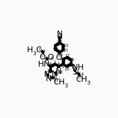 CCOC(=O)Nc1cc(-c2cc(NSCC)ccc2Oc2ccc(C#N)cc2)nn2c(C)nnc12